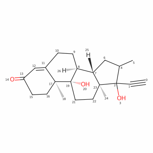 C#CC1(O)C(C)C[C@H]2[C@@H]3CCC4=CC(=O)CC[C@]4(C)[C@]3(O)CC[C@@]21C